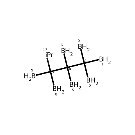 BC(B)(B)C(B)(B)C(B)(B)C(C)C